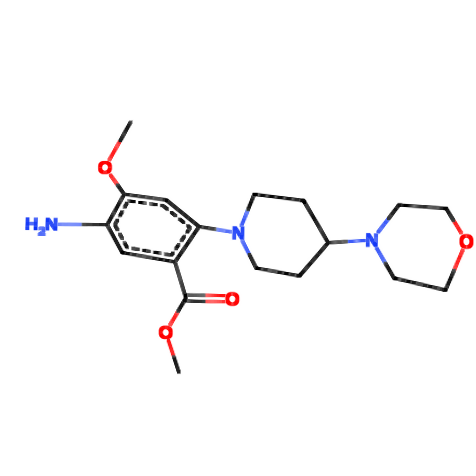 COC(=O)c1cc(N)c(OC)cc1N1CCC(N2CCOCC2)CC1